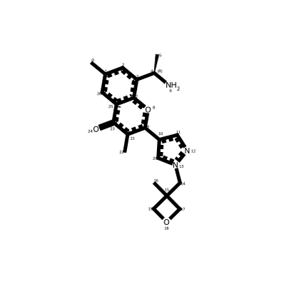 Cc1cc([C@@H](C)N)c2oc(-c3cnn(CC4(C)COC4)c3)c(C)c(=O)c2c1